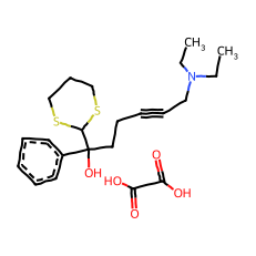 CCN(CC)CC#CCCC(O)(c1ccccc1)C1SCCCS1.O=C(O)C(=O)O